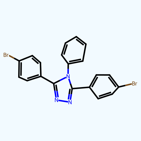 Brc1ccc(-c2nnc(-c3ccc(Br)cc3)n2-c2ccccc2)cc1